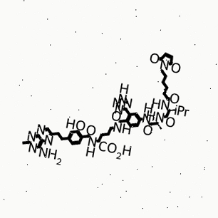 Cc1nc(N)c2nc(CCc3ccc(C(=O)N[C@@H](CCCNC(=O)c4ccc(NC(=O)[C@H](C)NC(=O)[C@@H](NC(=O)CCCCCN5C(=O)C=CC5=O)C(C)C)cc4-c4nn[nH]n4)C(=O)O)c(O)c3)cnc2n1